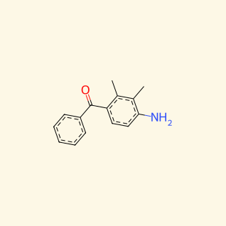 Cc1c(N)ccc(C(=O)c2ccccc2)c1C